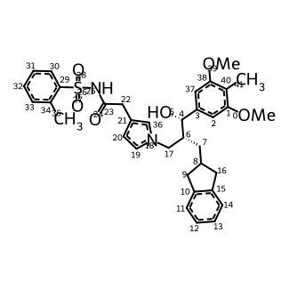 COc1cc([C@@H](O)[C@H](CC2Cc3ccccc3C2)Cn2ccc(CC(=O)NS(=O)(=O)c3ccccc3C)c2)cc(OC)c1C